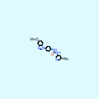 COc1ccc2c(c1)ncn2-c1ccc(NC(=O)Nc2cncc(C(C)(C)C)c2)cc1